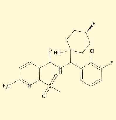 CS(=O)(=O)c1nc(C(F)(F)F)ccc1C(=O)NC(c1cccc(F)c1Cl)[C@]1(O)CC[C@H](F)CC1